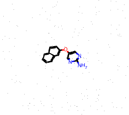 Nc1ncc(Oc2ccc3ccccc3c2)cn1